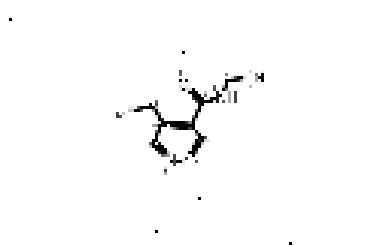 N#CCNC(=O)c1cnncc1CF